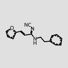 N#CN=C(C=Cc1ccco1)NCCc1ccccc1